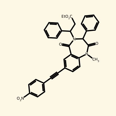 CCOC(=O)CC(c1ccccc1)N1C(=O)c2cc(C#Cc3ccc([N+](=O)[O-])cc3)ccc2N(C)C(=O)C1c1ccccc1